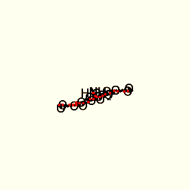 C=CC(=O)OCCCCCCOc1ccc(OC(=O)C2CCC(C(=O)Oc3ccc(OC(=O)C4CCC(C(=O)Oc5ccc(OCCCCCCOC(=O)C=C)cc5)CC4)c(C(=O)NN)c3)CC2)cc1